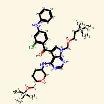 CC(C)(C)[Si](C)(C)OC[C@@H]1CCC(Nc2ncnc3c2c(C(=O)c2ccc(Nc4ccccc4)cc2Cl)cn3COCC[Si](C)(C)C)CO1